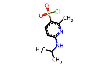 Cc1nc(NC(C)C)ccc1S(=O)(=O)Cl